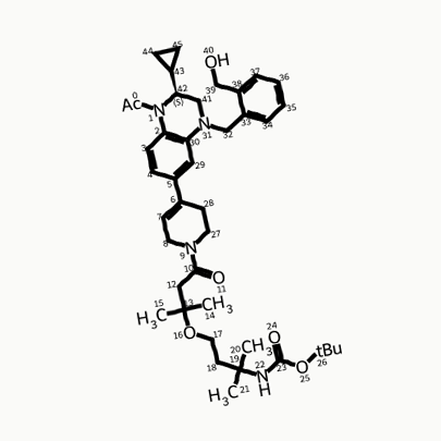 CC(=O)N1c2ccc(C3=CCN(C(=O)CC(C)(C)OCCC(C)(C)NC(=O)OC(C)(C)C)CC3)cc2N(Cc2ccccc2CO)C[C@@H]1C1CC1